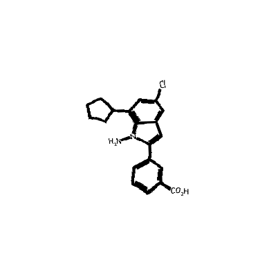 Nn1c(-c2cccc(C(=O)O)c2)cc2cc(Cl)cc(C3CCCC3)c21